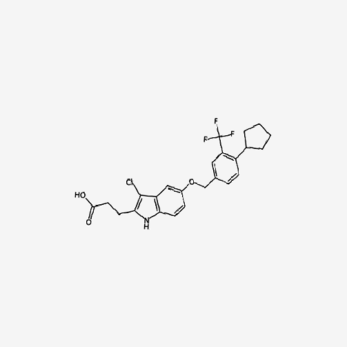 O=C(O)CCc1[nH]c2ccc(OCc3ccc(C4CCCC4)c(C(F)(F)F)c3)cc2c1Cl